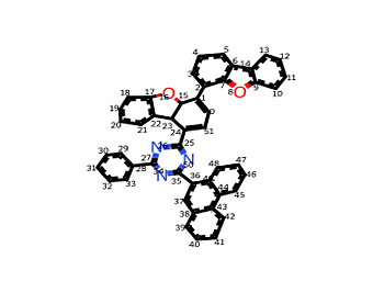 C1=C(c2cccc3c2oc2ccccc23)C2Oc3ccccc3C2C(c2nc(-c3ccccc3)nc(-c3cc4ccccc4c4ccccc34)n2)=C1